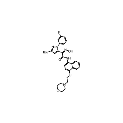 CC(C)(C)c1cc(C(=NO)C(=O)Nc2ccc(OCCN3CCOCC3)c3ccccc23)n(-c2cccc(F)c2)n1